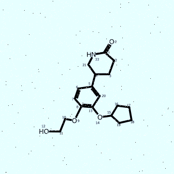 O=C1CCC(c2ccc(OCCO)c(OC3CCCC3)c2)CN1